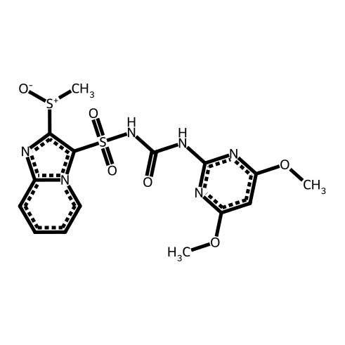 COc1cc(OC)nc(NC(=O)NS(=O)(=O)c2c([S+](C)[O-])nc3ccccn23)n1